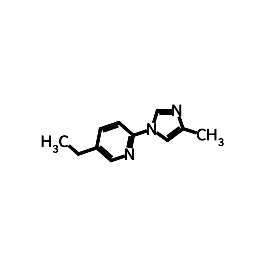 CCc1ccc(-n2cnc(C)c2)nc1